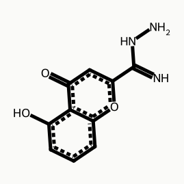 N=C(NN)c1cc(=O)c2c(O)cccc2o1